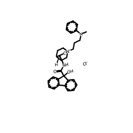 CN(CCC[N+]12CCC(CC1)[C@@H](NC(=O)C1(O)c3ccccc3-c3ccccc31)C2)c1ccccc1.[Cl-]